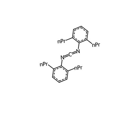 CCCc1cccc(CCC)c1N=C=Nc1c(CCC)cccc1CCC